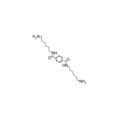 NCCCCCCNC(=O)c1ccc(C(=O)NCCCCCCN)cc1